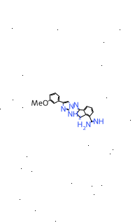 COc1cccc(-c2cn(N=C3CCc4c(C(=N)N)cccc43)c(N)n2)c1